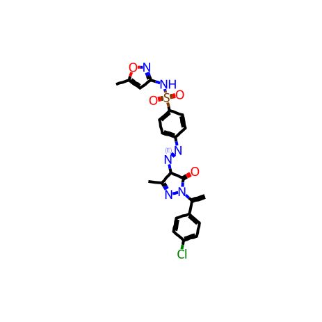 C=C(c1ccc(Cl)cc1)N1N=C(C)C(/N=N/c2ccc(S(=O)(=O)Nc3cc(C)on3)cc2)C1=O